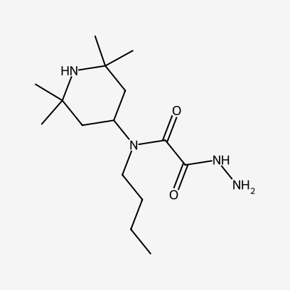 CCCCN(C(=O)C(=O)NN)C1CC(C)(C)NC(C)(C)C1